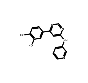 Oc1ccc(-c2cc(Nc3cccnc3)ncn2)cc1O